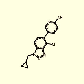 N#Cc1ccc(-c2ccc3c(nnn3CC3CC3)c2Cl)cn1